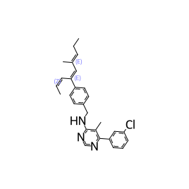 C\C=C/C(=C\C(C)=C\CC)c1ccc(CNc2ncnc(-c3cccc(Cl)c3)c2C)cc1